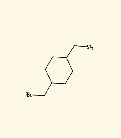 CCC(C)CC1CCC(CS)CC1